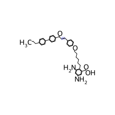 CCCc1ccc(-c2ccc(C(=O)/C=C/c3ccc(OCCCCCCc4c(N)cc(N)cc4C(=O)O)cc3)cc2)cc1